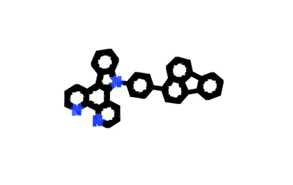 c1ccc2c(c1)-c1cccc3c(-c4ccc(-n5c6ccccc6c6c7cccnc7c7ncccc7c65)cc4)ccc-2c13